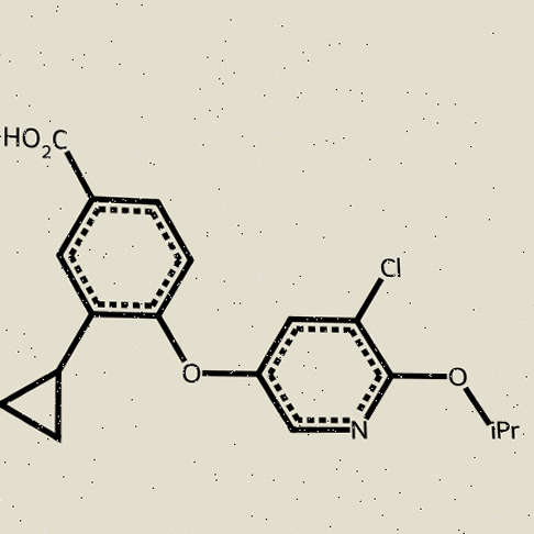 CC(C)Oc1ncc(Oc2ccc(C(=O)O)cc2C2CC2)cc1Cl